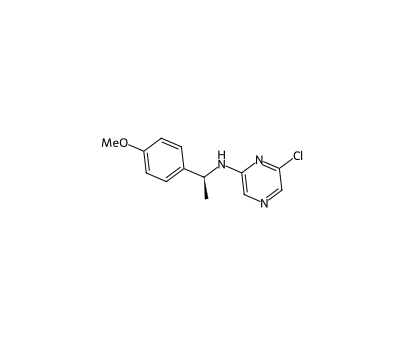 COc1ccc([C@H](C)Nc2cncc(Cl)n2)cc1